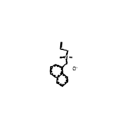 C=CC[N+](C)(C)Cc1cccc2ccccc12.[Cl-]